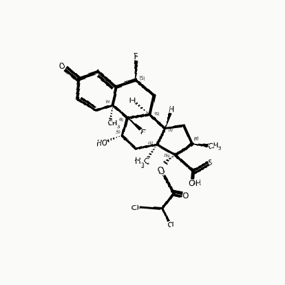 C[C@@H]1C[C@H]2[C@@H]3C[C@H](F)C4=CC(=O)C=C[C@]4(C)[C@@]3(F)[C@@H](O)C[C@]2(C)[C@]1(OC(=O)C(Cl)Cl)C(O)=S